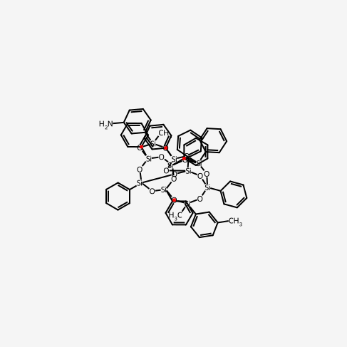 Cc1cccc([Si]2(C)O[Si]3(c4ccccc4)O[Si]4(c5ccccc5)O[Si]5(c6ccccc6)O[Si](C)(c6cccc(N)c6)O[Si]6(c7ccccc7)O[Si](c7ccccc7)(O[Si](c7ccccc7)(O2)O[Si](c2ccccc2)(O6)O[Si](c2ccccc2)(O3)O5)O4)c1